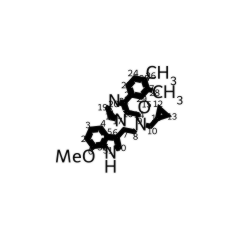 COc1cccc2c(CCN(CC3CC3)C(=O)c3nccnc3-c3ccc(C)c(C)c3)c[nH]c12